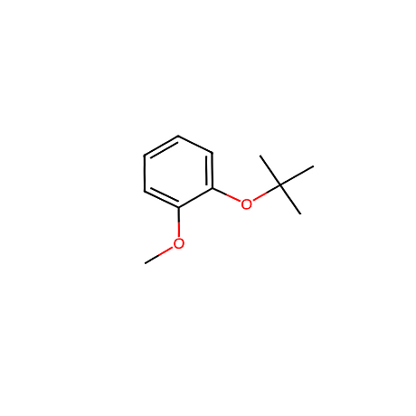 COc1ccccc1OC(C)(C)C